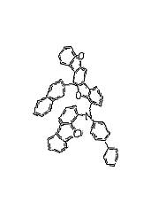 c1ccc(-c2ccc(N(c3cccc4c3oc3ccccc34)c3cccc4c3oc3c(-c5ccc6ccccc6c5)c5c(cc34)oc3ccccc35)cc2)cc1